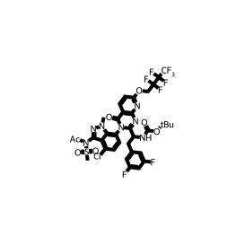 CC(=O)N(c1nn(C)c2c(-n3c(C(Cc4cc(F)cc(F)c4)NC(=O)OC(C)(C)C)nc4nc(OCC(F)(F)C(F)(F)C(F)(F)F)ccc4c3=O)ccc(Cl)c12)S(C)(=O)=O